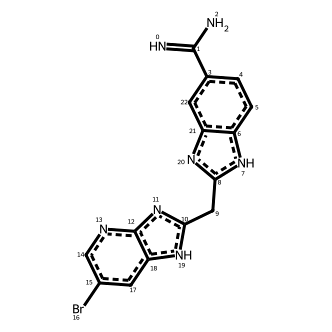 N=C(N)c1ccc2[nH]c(Cc3nc4ncc(Br)cc4[nH]3)nc2c1